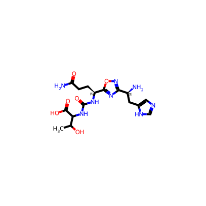 CC(O)C(NC(=O)N[C@@H](CCC(N)=O)c1nc([C@@H](N)Cc2cnc[nH]2)no1)C(=O)O